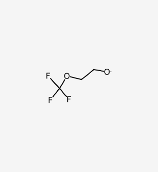 [O]CCOC(F)(F)F